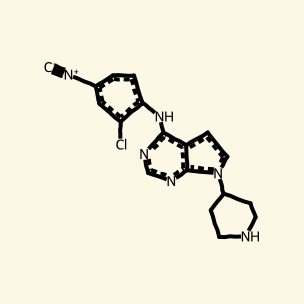 [C-]#[N+]c1ccc(Nc2ncnc3c2ccn3C2CCNCC2)c(Cl)c1